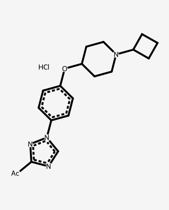 CC(=O)c1ncn(-c2ccc(OC3CCN(C4CCC4)CC3)cc2)n1.Cl